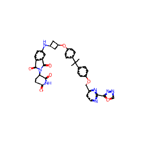 CC(C)(c1ccc(OCc2ccnc(-c3nnco3)n2)cc1)c1ccc(OC2CC(Nc3ccc4c(c3)C(=O)N(C3CCC(=O)NC3=O)C4=O)C2)cc1